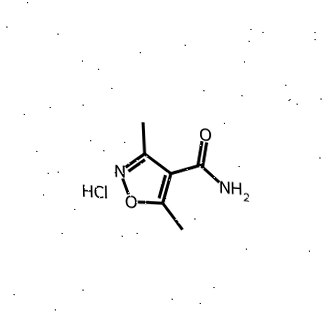 Cc1noc(C)c1C(N)=O.Cl